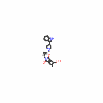 CC1C(CO)C2CC1C1C(=O)N(C[C@H]3C[C@@H]3CN3CCC(c4c[nH]c5ccccc45)CC3)C(=O)C21